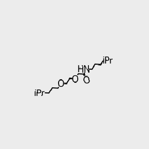 CC(C)CCCNC(=O)COCCOCCCC(C)C